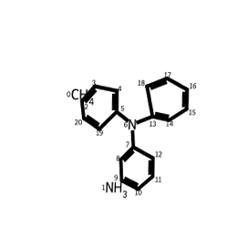 C.N.c1ccc(N(c2ccccc2)c2ccccc2)cc1